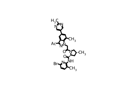 CC(=O)c1nn(CC(=O)N2C[C@H](C)C[C@H]2C(=O)Nc2nc(Br)ccc2C)c2c(C)cc(-c3cnc(C)nc3)cc12